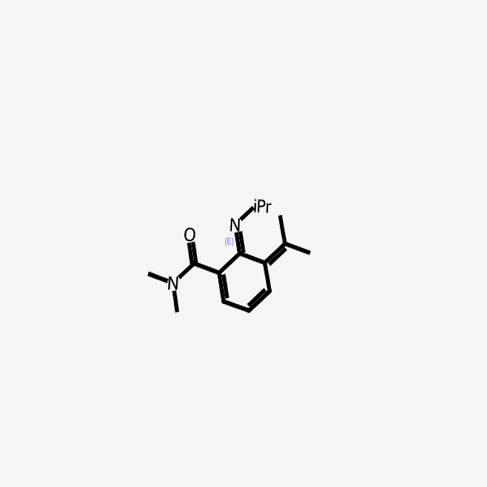 CC(C)=C1C=CC=C(C(=O)N(C)C)/C1=N/C(C)C